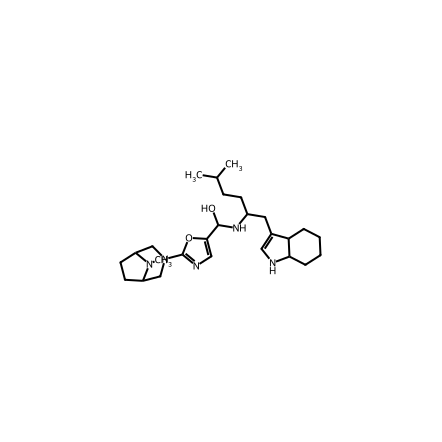 CC(C)CCC(CC1=CNC2CCCCC12)NC(O)c1cnc(N2CC3CCC(C2)N3C)o1